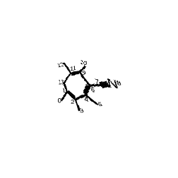 CC1=C(C)C(C)=C(C#N)C(C)=C(C)C1